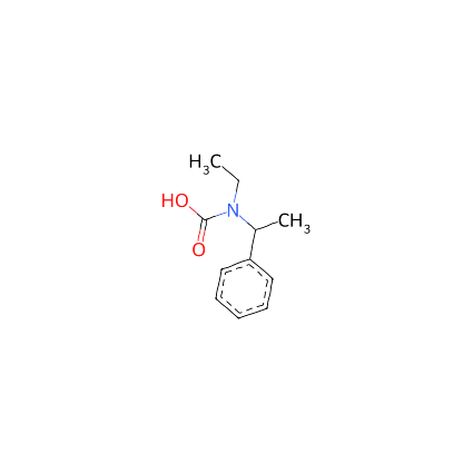 CCN(C(=O)O)C(C)c1ccccc1